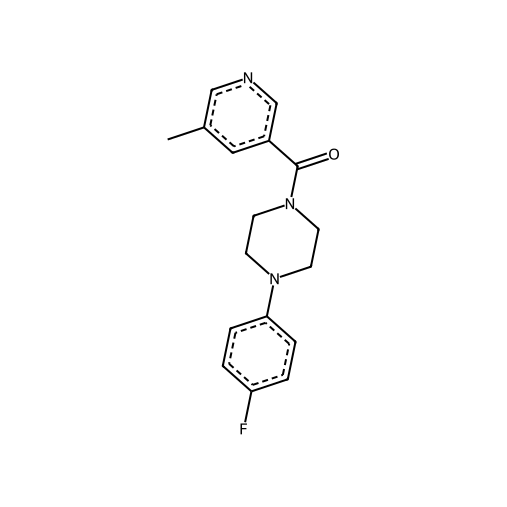 Cc1cncc(C(=O)N2CCN(c3ccc(F)cc3)CC2)c1